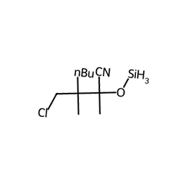 CCCCC(C)(CCl)C(C)(C#N)O[SiH3]